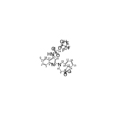 Cc1ccc2nc(N3CCS(=O)(=O)c4ccccc4C3)cc(NS(C)(=O)=O)c2c1.O=C(O)C(F)(F)F